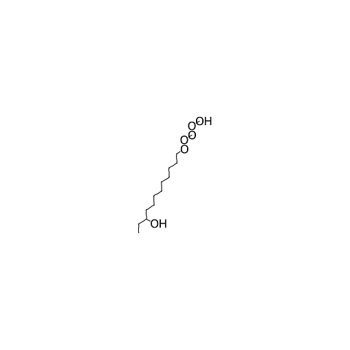 CCC(O)CCCCCCCCCOOOOO